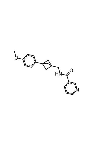 COc1ccc(C23CC(CNC(=O)c4cccnc4)(C2)C3)cc1